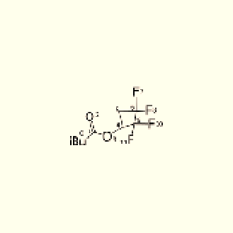 CCC(C)C(=O)OC1CC(F)(F)C1(F)F